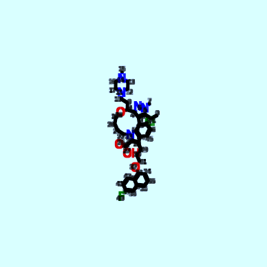 CCc1c2c(nn1C)C(CCN1CCN(C)CC1)OCCCCn1c(C(=O)O)c(CCCOc3cccc4cc(F)ccc34)c3ccc(Cl)c-2c31